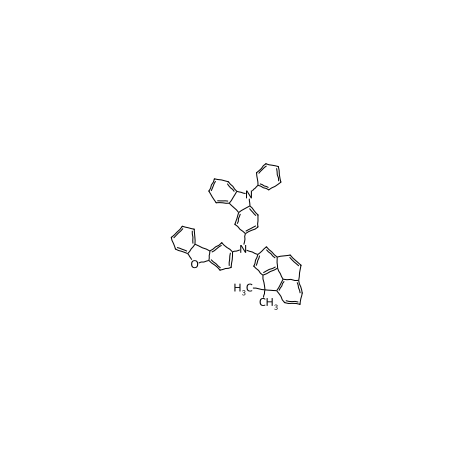 CC1(C)c2cccc3ccc4cc(N(c5ccc6oc7ccccc7c6c5)c5ccc6c(c5)c5ccccc5n6-c5ccccc5)cc1c4c23